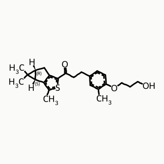 Cc1cc(CCC(=O)c2sc(C)c3c2C[C@@H]2[C@H]3C2(C)C)ccc1OCCCO